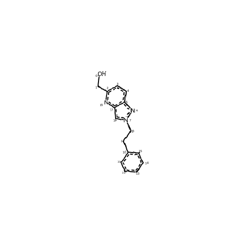 OCc1ccc2nn(CCc3ccccc3)cc2n1